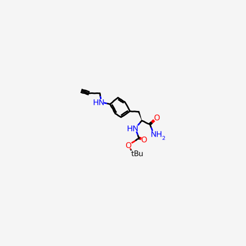 C#CCNc1ccc(C[C@H](NC(=O)OC(C)(C)C)C(N)=O)cc1